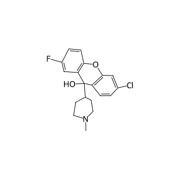 CN1CCC(C2(O)c3ccc(Cl)cc3Oc3ccc(F)cc32)CC1